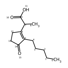 CCCCCC1=C(C(C)C(=O)O)CCC1=O